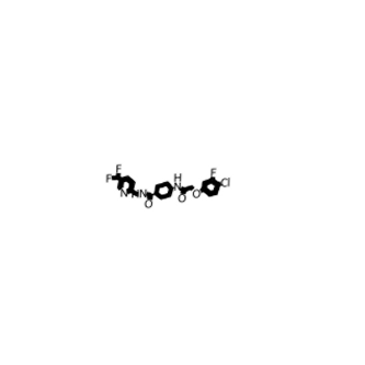 O=C(COc1ccc(Cl)c(F)c1)N[C@H]1CC[C@H](C(=O)NCc2ccc(C(F)F)cn2)CC1